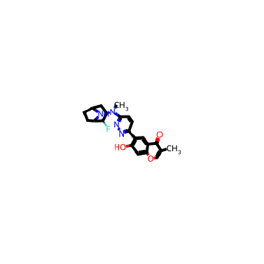 Cc1coc2cc(O)c(-c3ccc(N(C)[C@@H]4CC5CCC(N5)[C@@H]4F)nn3)cc2c1=O